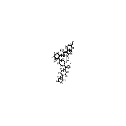 Nc1nn2cc(F)cnc2c1C(=O)Nc1cncc(F)c1N1CCC(C(=O)N2CCC(N3CCCC3)CC2)CC1